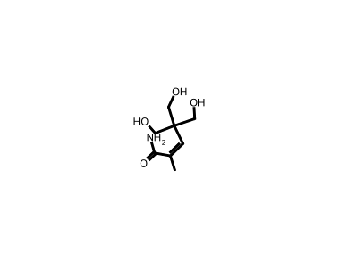 CC(=CC(CO)(CO)CO)C(N)=O